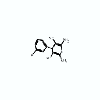 N#CC1=C(N)SC(N)=C(C#N)C1c1cccc(F)c1